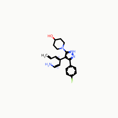 C=C/C=C(\C=C/N)c1c(-c2ccc(F)cc2)n[nH]c1N1CCC(O)CC1